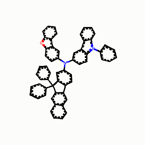 c1ccc(-n2c3ccccc3c3cc(N(c4ccc5c(c4)C(c4ccccc4)(c4ccccc4)c4cc6ccccc6cc4-5)c4ccc5oc6ccccc6c5c4)ccc32)cc1